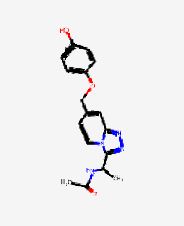 CC(=O)NC(C)c1nnc2cc(COc3ccc(O)cc3)ccn12